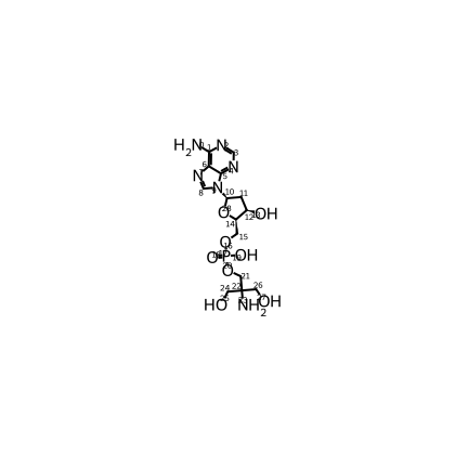 Nc1ncnc2c1ncn2[C@H]1C[C@@H](O)[C@@H](COP(=O)(O)OCC(N)(CO)CO)O1